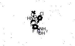 CC(C)(C)OC(=O)N[C@H]1CSc2cc(F)c(/C(N)=N/O)cc2N(Cc2ccc(Cl)cc2)C1=O